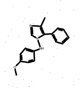 COc1ccc(Nn2cnc(C)c2-c2ccccc2)cc1